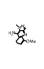 COC1=CCCc2c1nc1cnn(C)c1c2N